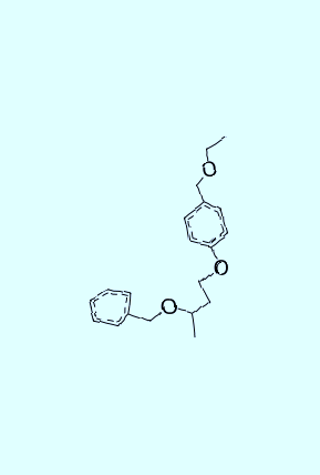 CCOCc1ccc(OCCC(C)OCc2ccccc2)cc1